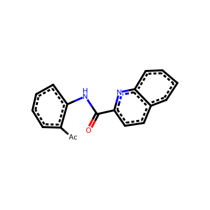 CC(=O)c1ccccc1NC(=O)c1ccc2ccccc2n1